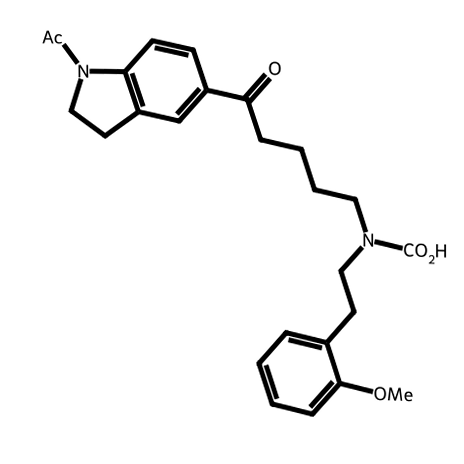 COc1ccccc1CCN(CCCCC(=O)c1ccc2c(c1)CCN2C(C)=O)C(=O)O